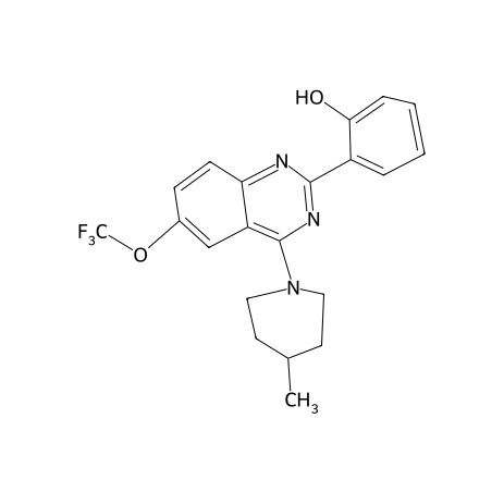 CC1CCN(c2nc(-c3ccccc3O)nc3ccc(OC(F)(F)F)cc23)CC1